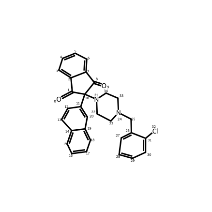 O=C1c2ccccc2C(=O)C1(c1ccc2ccccc2c1)N1CCN(Cc2ccccc2Cl)CC1